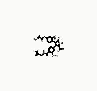 C=C(F)C(=O)Nc1ccc(-c2c(C)[nH]c(C(N)=O)c2-c2ccc(C(=O)NCC3CC3(F)F)c(OC)c2)c(C)c1